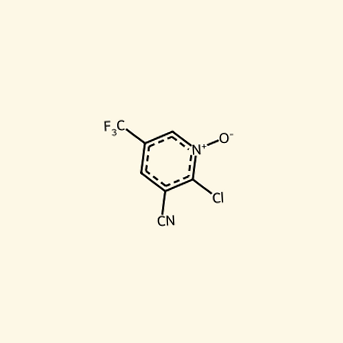 N#Cc1cc(C(F)(F)F)c[n+]([O-])c1Cl